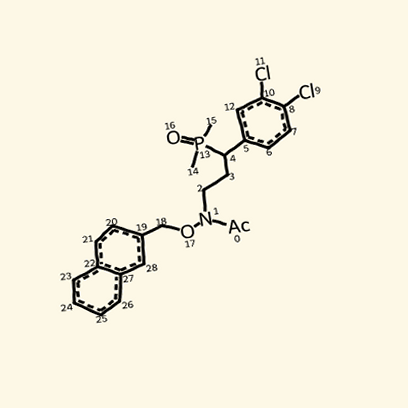 CC(=O)N(CCC(c1ccc(Cl)c(Cl)c1)P(C)(C)=O)OCc1ccc2ccccc2c1